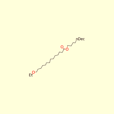 CCCCCCCCCCCCCCOC(=O)CCCCCCCCCCCCCOCC